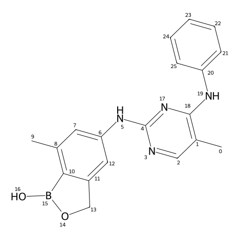 Cc1cnc(Nc2cc(C)c3c(c2)COB3O)nc1Nc1ccccc1